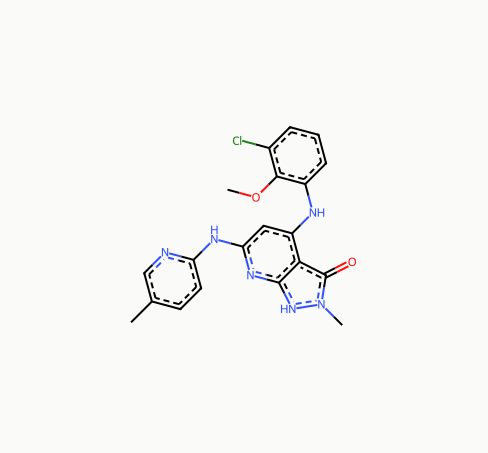 COc1c(Cl)cccc1Nc1cc(Nc2ccc(C)cn2)nc2[nH]n(C)c(=O)c12